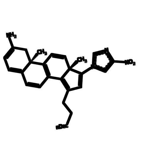 CCCCCCCCCCCCC1=C2C3=C(C=C[C@]2(C)C(n2cnc([N+](=O)[O-])c2)=C1)[C@]1(C)CC(N)=CC=C1C=C3